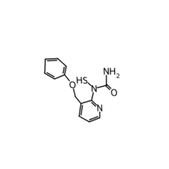 NC(=O)N(S)c1ncccc1COc1ccccc1